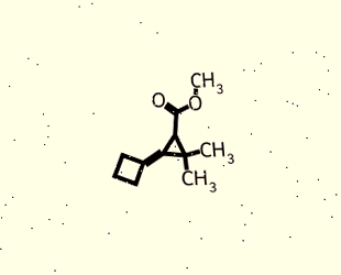 COC(=O)C1C(=C2CCC2)C1(C)C